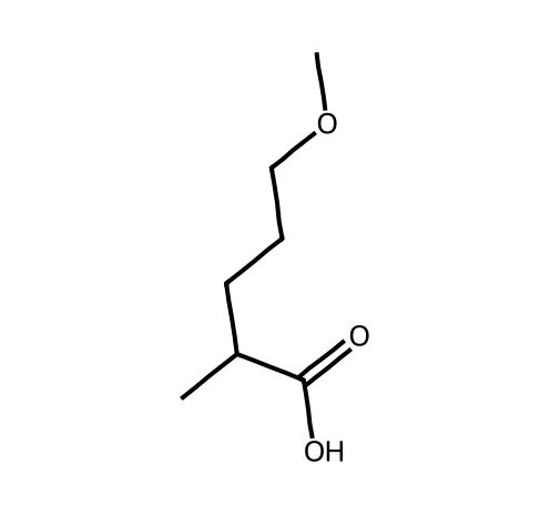 COCCCC(C)C(=O)O